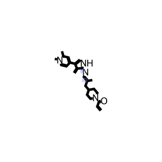 C=CC(=O)N1CCC(C/C(C)=C/N=C2/NC=C(C3=CC(C)N(C)C=C3)C2=C)CC1